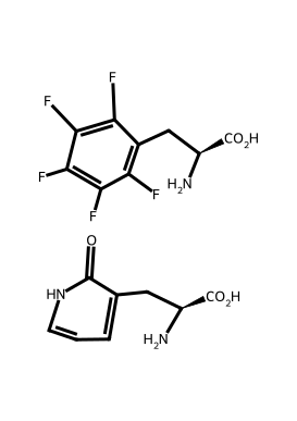 N[C@@H](Cc1c(F)c(F)c(F)c(F)c1F)C(=O)O.N[C@@H](Cc1ccc[nH]c1=O)C(=O)O